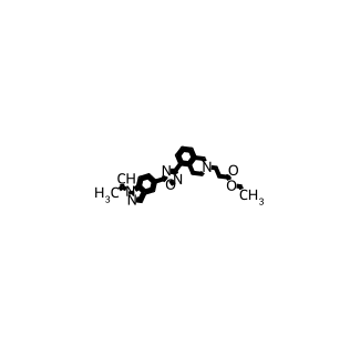 CCOC(=O)CCN1CCc2c(cccc2-c2noc(-c3ccc4c(cnn4C(C)C)c3)n2)C1